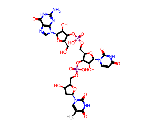 Cc1cn([C@H]2C[C@@H](O)[C@@H](COP(=O)(O)OC3[C@@H](COP(=O)(O)OC4[C@@H](CO)O[C@@H](n5cnc6c(=O)[nH]c(N)nc65)[C@H]4O)O[C@@H](n4ccc(=O)[nH]c4=O)[C@H]3O)O2)c(=O)[nH]c1=O